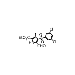 CCOC(=O)c1[nH]c(C=O)c(S(=O)(=O)c2cc(Cl)cc(Cl)c2)c1C